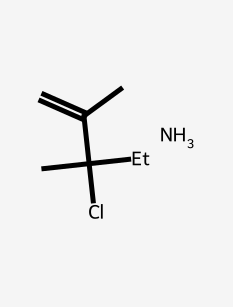 C=C(C)C(C)(Cl)CC.N